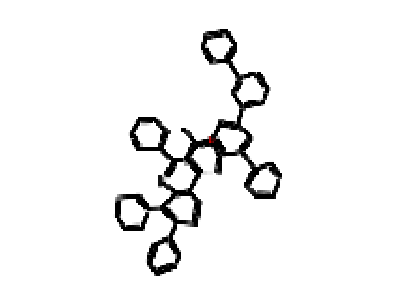 C/C(=N\C(=N/c1c(-c2ccccc2)ccc(-c2ccccc2)c1-c1ccccc1)c1ccccc1)c1cc(-c2ccccc2)cc(-c2cccc(-c3ccccc3)c2)c1